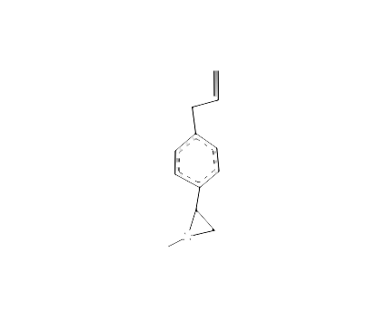 C=CCc1ccc(C2CN2C)cc1